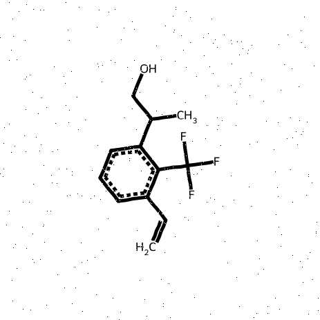 C=Cc1cccc([C](C)CO)c1C(F)(F)F